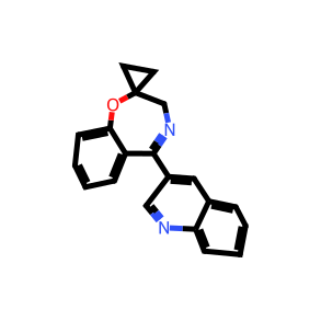 c1ccc2c(c1)OC1(CC1)CN=C2c1cnc2ccccc2c1